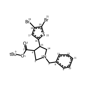 CC(C)(C)OC(=O)C1CN(Cc2ccccc2)CC1c1cc(Br)c(Br)s1